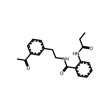 CCC(=O)Nc1ccccc1C(=O)NCCc1cccc(C(C)=O)c1